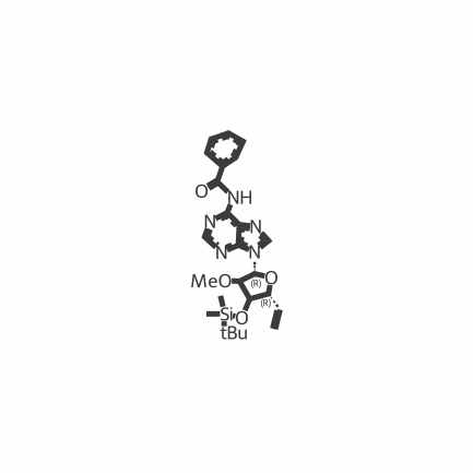 C=C[C@H]1O[C@@H](n2cnc3c(NC(=O)c4ccccc4)ncnc32)C(OC)C1O[Si](C)(C)C(C)(C)C